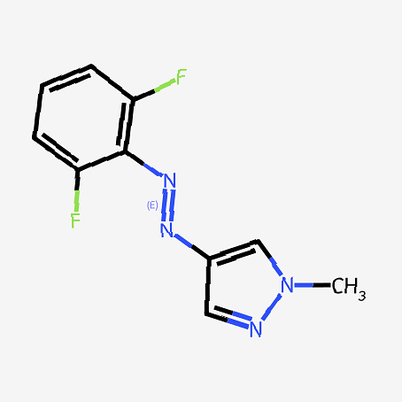 Cn1cc(/N=N/c2c(F)cccc2F)cn1